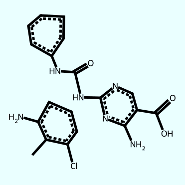 Cc1c(N)cccc1Cl.Nc1nc(NC(=O)Nc2ccccc2)ncc1C(=O)O